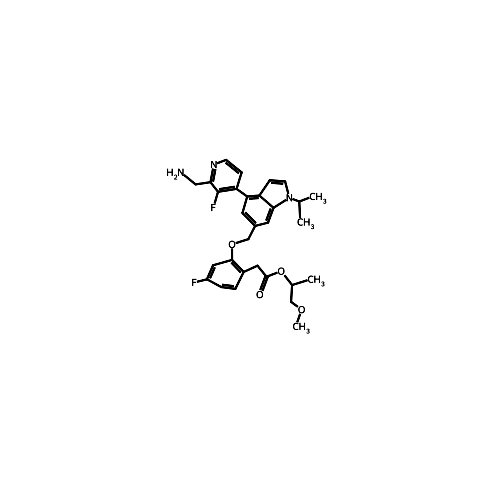 COCC(C)OC(=O)Cc1ccc(F)cc1OCc1cc(-c2ccnc(CN)c2F)c2ccn(C(C)C)c2c1